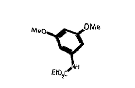 CCOC(=O)Nc1cc(OC)cc(OC)c1